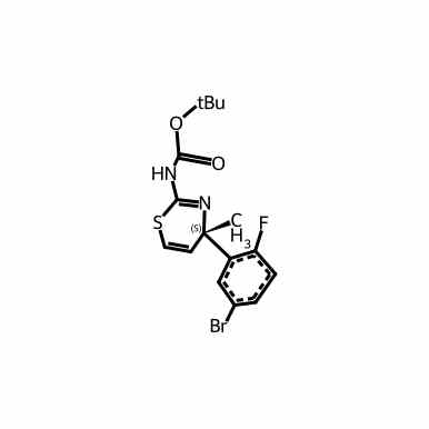 CC(C)(C)OC(=O)NC1=N[C@](C)(c2cc(Br)ccc2F)C=CS1